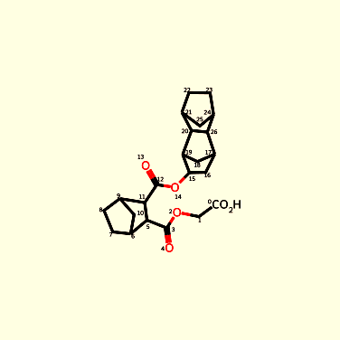 O=C(O)COC(=O)C1C2CCC(C2)C1C(=O)OC1CC2CC1C1C3CCC(C3)C21